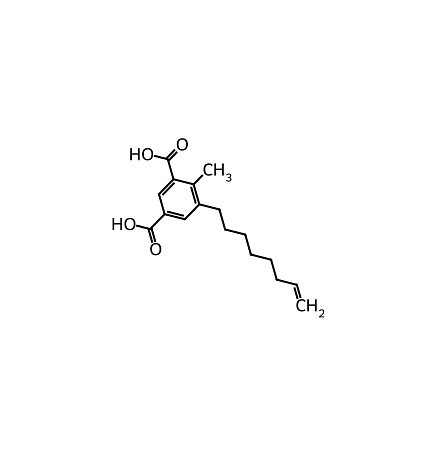 C=CCCCCCCc1cc(C(=O)O)cc(C(=O)O)c1C